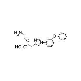 NCCOC(Cc1cn(-c2cccc(Oc3ccccc3)c2)cn1)C(=O)O